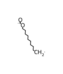 [CH2]CCCCCCCCCO[C]=O